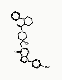 COc1ccc(-n2ccc3c(=O)n(CC4(O)CCN(C(=O)C5CCCCN5c5ccccc5)CC4)cnc32)cc1